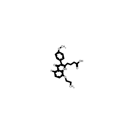 CCCOc1ccc(F)c2c(=O)c(-c3ccc(OC)cc3)c(CCCC(=O)O)[nH]c12